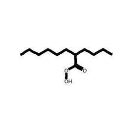 CCCCCCC(CCCC)C(=O)OO